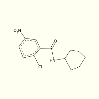 O=C(NC1CCCCC1)c1cc([N+](=O)[O-])ccc1Cl